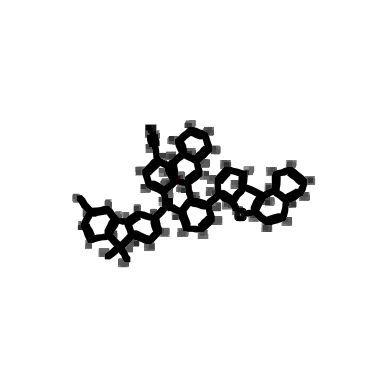 Cc1ccc2c(c1)-c1cc(N(c3ccc(C#N)cc3)c3cccc(-c4cccc5c4oc4ccc6ccccc6c45)c3-c3ccc4ccccc4c3)ccc1C2(C)C